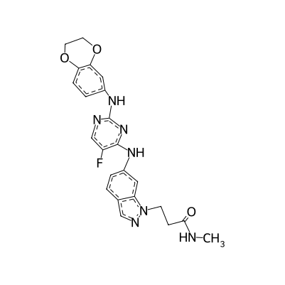 CNC(=O)CCn1ncc2ccc(Nc3nc(Nc4ccc5c(c4)OCCO5)ncc3F)cc21